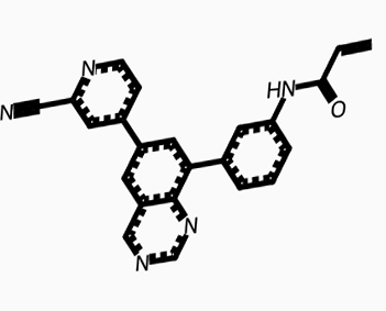 C=CC(=O)Nc1cccc(-c2cc(-c3ccnc(C#N)c3)cc3cncnc23)c1